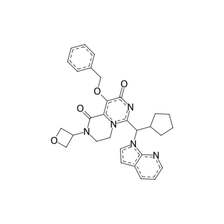 O=C1c2c(OCc3ccccc3)c(=O)nc(C(C3CCCC3)n3ccc4cccnc43)n2CCN1C1COC1